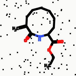 C=C1CCCCCCC(C(=O)OCC)NC1=O